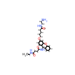 C=CNC(=O)CCC(=O)NC1c2ccccc2Oc2cc(OCCCCC(=O)NCCN)ccc21